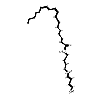 CCCCC/C=C\C/C=C\CCCCCCCC(=O)OCCCCNCCCCO